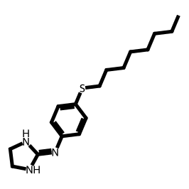 CCCCCCCCSc1ccc(N=C2NCCN2)cc1